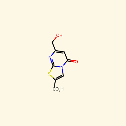 O=C(O)c1cn2c(=O)cc(CO)nc2s1